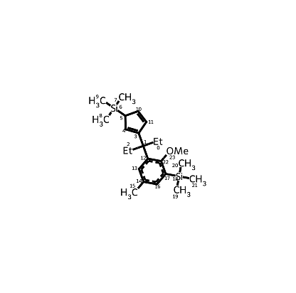 CCC(CC)(C1=CC([Si](C)(C)C)C=C1)c1cc(C)cc([Si](C)(C)C)c1OC